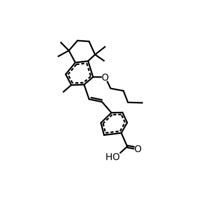 CCCCOc1c(C=Cc2ccc(C(=O)O)cc2)c(C)cc2c1C(C)(C)CCC2(C)C